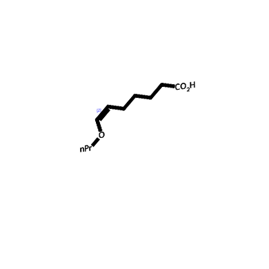 CCCO/C=C\CCCCC(=O)O